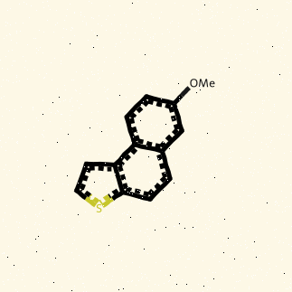 COc1ccc2c(ccc3sccc32)c1